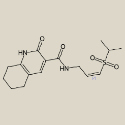 CC(C)S(=O)(=O)/C=C\CNC(=O)c1cc2c([nH]c1=O)CCCC2